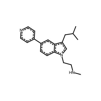 CNCCn1cc(CC(C)C)c2cc(-c3ccncc3)ccc21